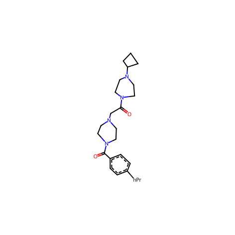 CCCc1ccc(C(=O)N2CCN(CC(=O)N3CCN(C4CCC4)CC3)CC2)cc1